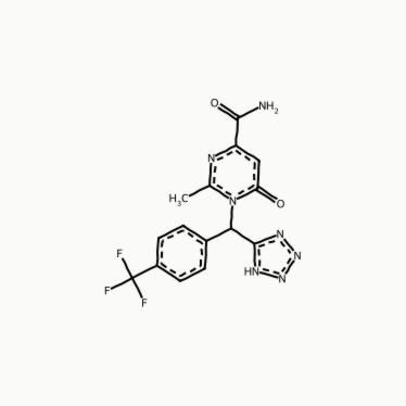 Cc1nc(C(N)=O)cc(=O)n1C(c1ccc(C(F)(F)F)cc1)c1nnn[nH]1